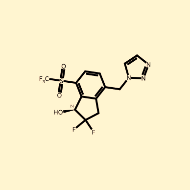 O=S(=O)(c1ccc(Cn2ccnn2)c2c1[C@H](O)C(F)(F)C2)C(F)(F)F